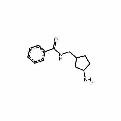 NC1CCC(CNC(=O)c2ccccc2)C1